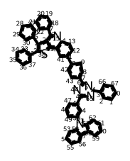 c1ccc(-c2nc(-c3ccc(-c4ccc5nc(-c6ccccc6)c6c(-c7ccccc7)c(-c7ccccc7)sc6c5c4)cc3)nc(-c3cccc(-n4c5ccccc5c5ccccc54)c3)n2)cc1